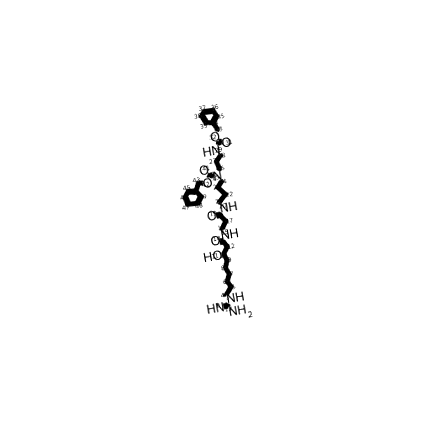 N=C(N)NCCCCCCC(O)CC(=O)NCCC(=O)NCCCCN(CCCNC(=O)OCc1ccccc1)C(=O)OCc1ccccc1